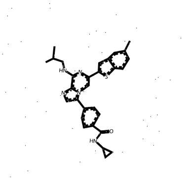 Cc1ccc2sc(-c3cn4c(-c5ccc(C(=O)NC6CC6)cc5)cnc4c(NCC(C)C)n3)cc2c1